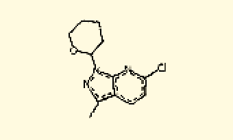 Clc1ccc2c(I)nn(C3CCCCO3)c2n1